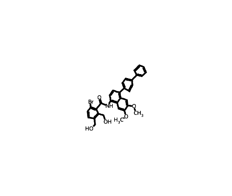 COc1cc2c(NC(=O)c3c(Br)ccc(CO)c3CO)ccc(-c3ccc(-c4ccccc4)cc3)c2cc1OC